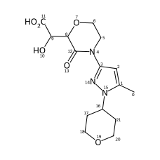 Cc1cc(N2CCOC(C(O)C(=O)O)C2=O)nn1C1CCOCC1